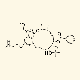 CNCCOc1cc2c(c(OCOC)c1)C(=O)O[C@@H](C)[C@H](C)/C=C\C(OC(=O)c1ccccc1)C1OC(C)(C)O[C@H]1C/C=C/2